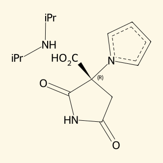 CC(C)NC(C)C.O=C1C[C@@](C(=O)O)(n2cccc2)C(=O)N1